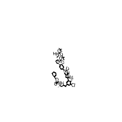 C[C@@H](CCCc1cc(Cl)c(F)c(-c2cc3cn(-c4ccc([C@H]5CC[C@H](CCNC(=O)OC(C)(C)C)N5C(=O)OC(C)(C)C)cc4)c(=O)nc3[nH]2)c1)NC(=O)OCc1ccccc1